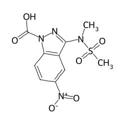 CN(c1nn(C(=O)O)c2ccc([N+](=O)[O-])cc12)S(C)(=O)=O